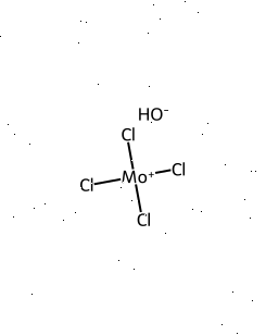 [Cl][Mo+]([Cl])([Cl])[Cl].[OH-]